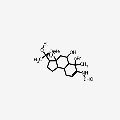 CCCC1(C)C(NC=O)=CCC2C1C(O)CC1(C)C2CCC1C(C)(OC)OCC